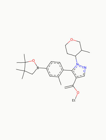 C=C(OCC)c1cnn(C2CCOCC2C)c1-c1ccc(B2CC(C)(C)C(C)(C)O2)cc1C